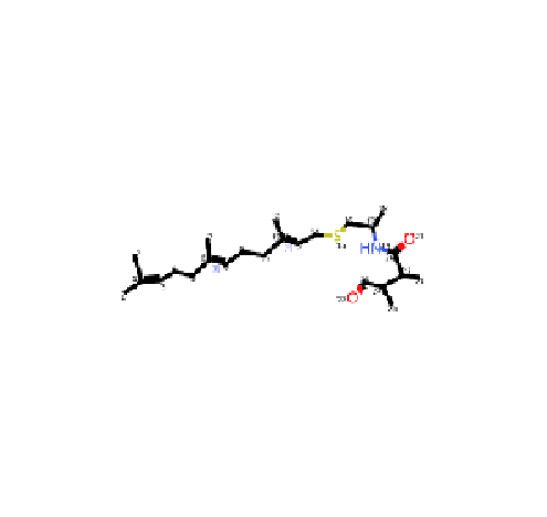 CC(C)=CCC/C(C)=C/CC/C(C)=C/CSCC(C)NC(=O)C(C)C(C)C=O